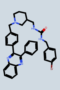 O=C(NCc1ccc(Br)cc1)NCC1CCCN(Cc2ccc(-c3nc4ccccc4nc3-c3ccccc3)cc2)C1